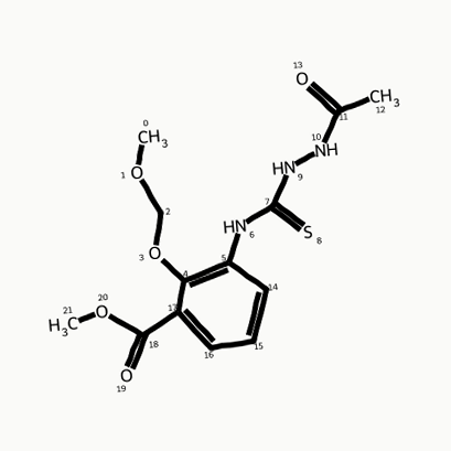 COCOc1c(NC(=S)NNC(C)=O)cccc1C(=O)OC